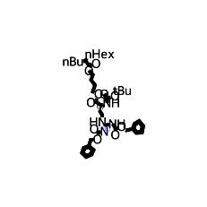 CCCCCCC(CCCC)C(=O)OCCCCOC(=O)[C@H](CCN/C(=N\C(=O)OCc1ccccc1)NC(=O)OCc1ccccc1)NC(=O)OC(C)(C)C